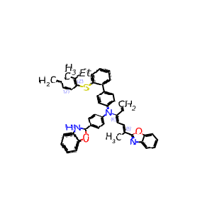 C=C/C=C\C(Sc1ccccc1-c1ccc(N(/C(C=C)=C/C=C(\C)c2nc3ccccc3o2)c2ccc(C3Nc4ccccc4O3)cc2)cc1)=C(/C)CC